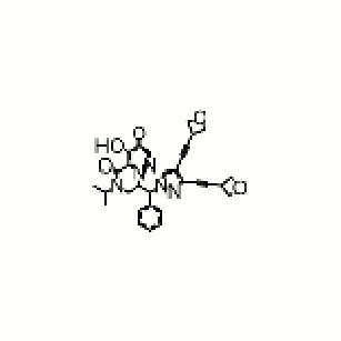 CC(C)N1CC(C(c2ccccc2)n2cc(C#CC3COC3)c(C#CC3COC3)n2)n2ncc(=O)c(O)c2C1=O